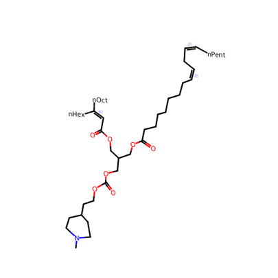 CCCCC/C=C\C/C=C\CCCCCCCC(=O)OCC(COC(=O)/C=C(\CCCCCC)CCCCCCCC)COC(=O)OCCC1CCN(C)CC1